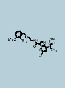 COc1cccc(COCCNC(=O)c2cnc3c(N(C)C(=O)OC(C)(C)C)cc(Cl)nn23)c1N